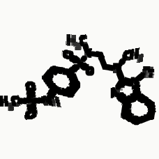 CCn1c(N(C)CCN(C)S(=O)(=O)c2ccc(NS(C)(=O)=O)cc2)nc2ccccc21